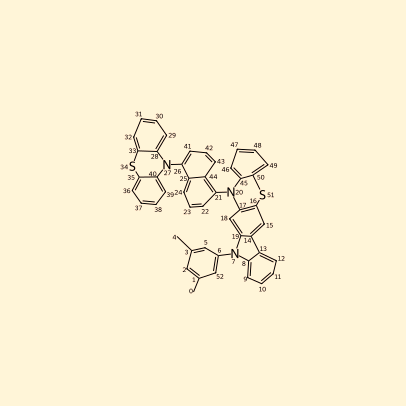 Cc1cc(C)cc(-n2c3ccccc3c3cc4c(cc32)N(c2cccc3c(N5c6ccccc6Sc6ccccc65)cccc23)c2ccccc2S4)c1